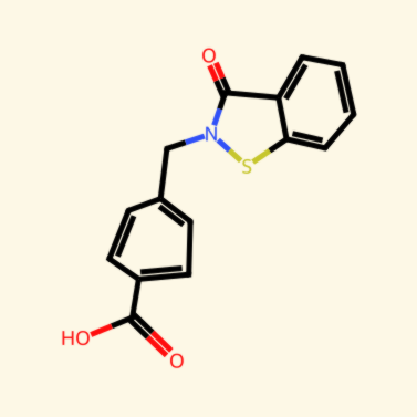 O=C(O)c1ccc(Cn2sc3ccccc3c2=O)cc1